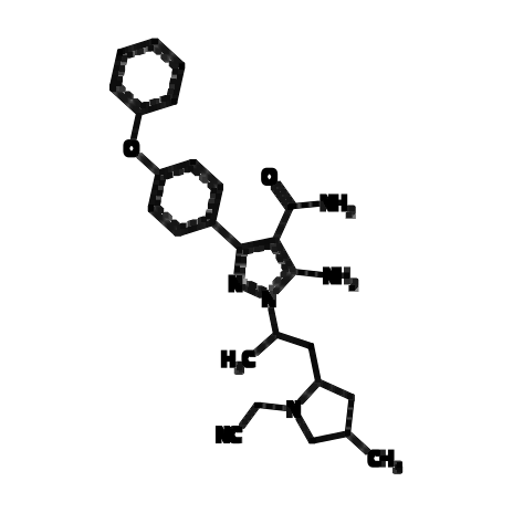 CC1CC(CC(C)n2nc(-c3ccc(Oc4ccccc4)cc3)c(C(N)=O)c2N)N(CC#N)C1